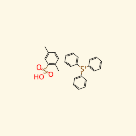 Cc1ccc(C)c(S(=O)(=O)O)c1.c1ccc([S+](c2ccccc2)c2ccccc2)cc1